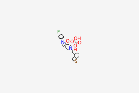 O=C(O)C(=O)O.O=C1N(c2ccc(F)cc2)CCC12CCN(CCC1CCCc3sccc31)CC2